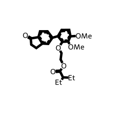 CCC(CC)C(=O)OCCOc1c(-c2ccc3c(c2)CCC3=O)ccc(OC)c1OC